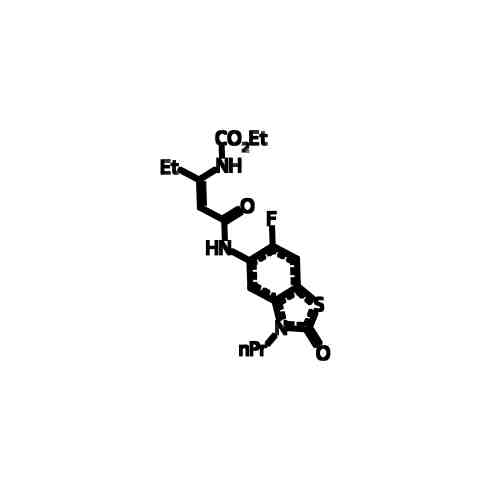 CCCn1c(=O)sc2cc(F)c(NC(=O)/C=C(/CC)NC(=O)OCC)cc21